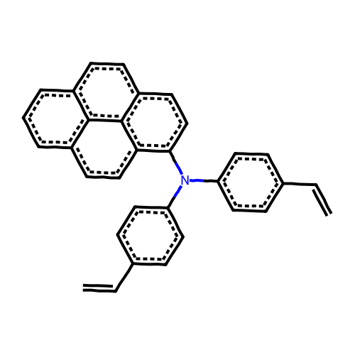 C=Cc1ccc(N(c2ccc(C=C)cc2)c2ccc3ccc4cccc5ccc2c3c45)cc1